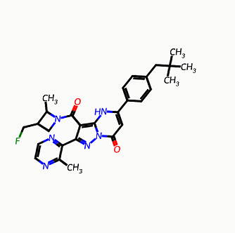 Cc1nccnc1-c1nn2c(=O)cc(-c3ccc(CC(C)(C)C)cc3)[nH]c2c1C(=O)N1CC(CF)C1C